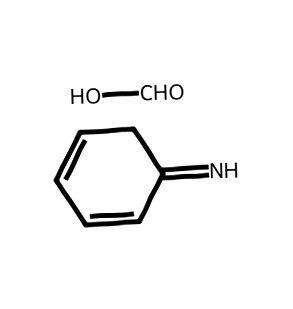 N=C1C=CC=CC1.O=CO